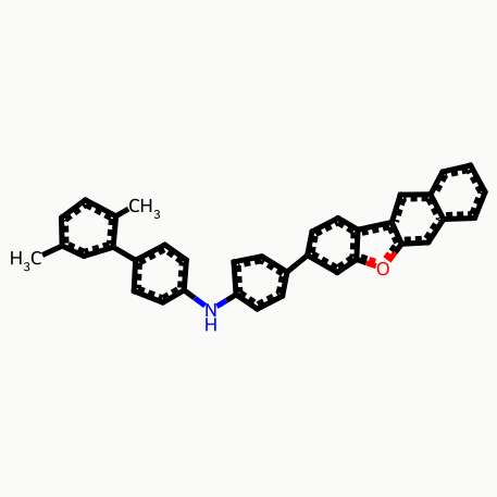 Cc1ccc(C)c(-c2ccc(Nc3ccc(-c4ccc5c(c4)oc4cc6ccccc6cc45)cc3)cc2)c1